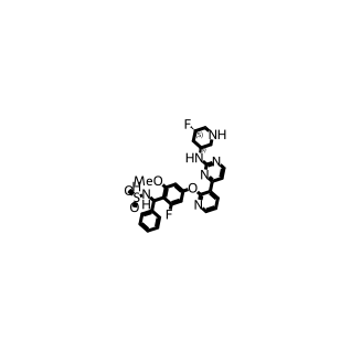 COc1cc(Oc2ncccc2-c2ccnc(N[C@@H]3CNC[C@@H](F)C3)n2)cc(F)c1C(N[SH](=O)=O)c1ccccc1